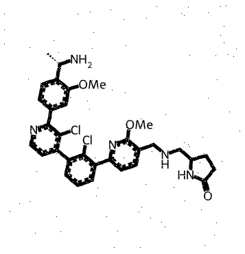 COc1cc(-c2nccc(-c3cccc(-c4ccc(CNCC5CCC(=O)N5)c(OC)n4)c3Cl)c2Cl)ccc1[C@H](C)N